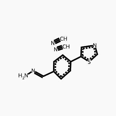 C#N.C#N.NN=Cc1ccc(-c2cncs2)cc1